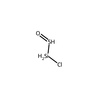 O=[SH][SiH2]Cl